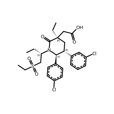 CC[C@@H](CS(=O)(=O)CC)N1C(=O)[C@@](CC)(CC(=O)O)C[C@H](c2cccc(Cl)c2)[C@H]1c1ccc(Cl)cc1